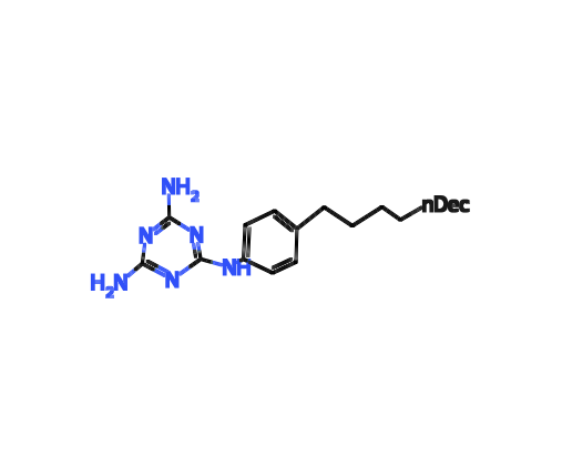 CCCCCCCCCCCCCCc1ccc(Nc2nc(N)nc(N)n2)cc1